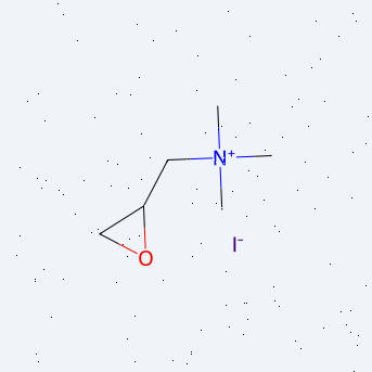 C[N+](C)(C)CC1CO1.[I-]